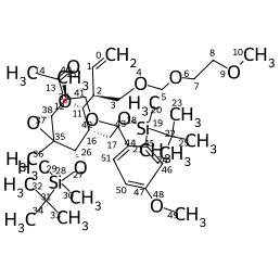 C=C[C@@H](COCOCCOC)[C@@H](OC(C)=O)[C@H](CO[Si](C)(C)C(C)(C)C)[C@H](O[Si](C)(C)C(C)(C)C)C1(C)O[C@@H]1[C@@H](C)COCc1ccc(OC)cc1